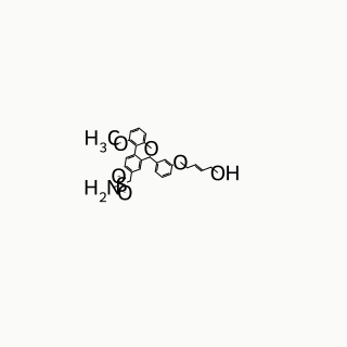 COc1cccc2c1-c1ccc(CS(N)(=O)=O)cc1C(c1cccc(OC/C=C/CO)c1)O2